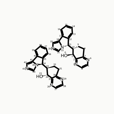 O[C@@H]1c2nccnc2CC[C@H]1[C@H]1c2ccccc2-c2cncn21.O[C@H]1c2nccnc2CC[C@@H]1[C@@H]1c2ccccc2-c2cncn21